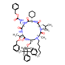 CCCCCCN1C[C@@H](CO[Si](C)(C)C(c2ccccc2)(c2ccccc2)C(C)(C)C)NC(=O)[C@H]([C@H](C)OCc2ccccc2)NC(=O)[C@H](CNC(=O)OCc2ccccc2)NC(=O)[C@H](C2CCCCC2)NC(=O)[C@H](CC(C)C)N(C)C(=O)[C@@H]1C